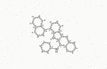 c1ccc(Nc2c3ccccc3cc3c2oc2c(-c4cccc5ccccc45)cccc23)cc1